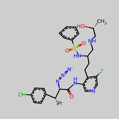 CC(C)[C@H](c1ccc(Cl)cc1)[C@@H](N=[N+]=[N-])C(=O)Nc1cncc(F)c1CCC(CNC[C@@H](C)O)NS(=O)(=O)c1ccccc1